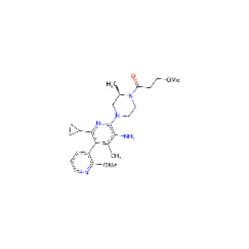 COCCC(=O)N1CCN(c2nc(C3CC3)c(-c3cccnc3OC)c(C)c2N)C[C@H]1C